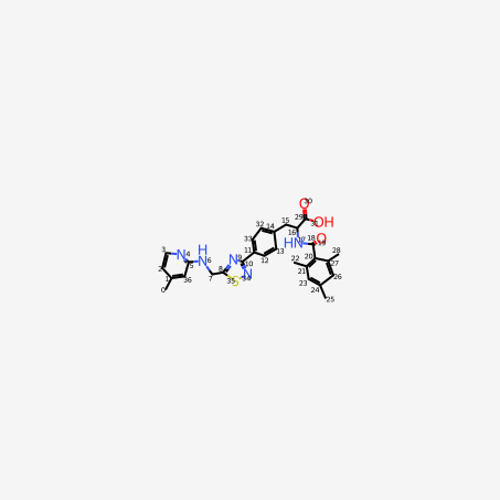 Cc1ccnc(NCc2nc(-c3ccc(CC(NC(=O)c4c(C)cc(C)cc4C)C(=O)O)cc3)ns2)c1